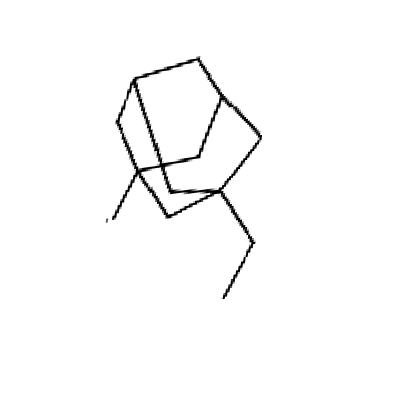 [CH2]C12CC3CC(C1)CC(CC)(C3)C2